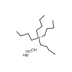 Br.CCCC[N+](CCCC)(CCCC)CCCC.Cl.Cl